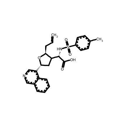 C=CC[C@@H]1O[C@@H](c2cncc3ccccc23)CC1[C@H](NS(=O)(=O)c1ccc(C)cc1)C(=O)O